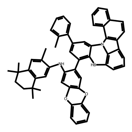 Cc1cc2c(cc1Nc1cc3c(cc1-c1cc(-c4ccccc4C)cc4c1Bc1cccc5c6ccc7ccccc7c6n-4c15)Oc1ccccc1O3)C(C)(C)CCC2(C)C